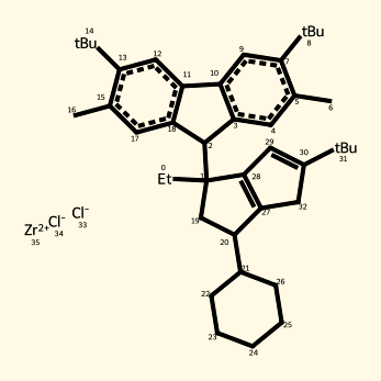 CCC1(C2c3cc(C)c(C(C)(C)C)cc3-c3cc(C(C)(C)C)c(C)cc32)CC(C2CCCCC2)C2=C1C=C(C(C)(C)C)C2.[Cl-].[Cl-].[Zr+2]